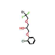 CCC(F)(F)COCC(O)COc1ccccc1Cl